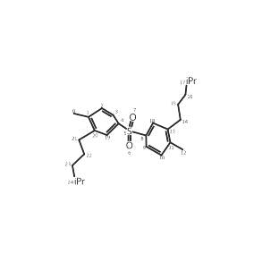 Cc1ccc(S(=O)(=O)c2ccc(C)c(CCCC(C)C)c2)cc1CCCC(C)C